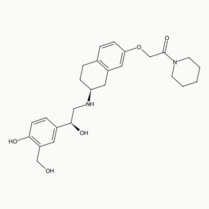 O=C(COc1ccc2c(c1)C[C@@H](NC[C@@H](O)c1ccc(O)c(CO)c1)CC2)N1CCCCC1